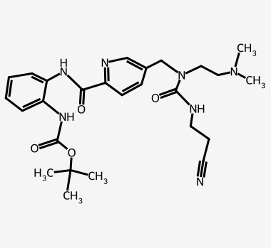 CN(C)CCN(Cc1ccc(C(=O)Nc2ccccc2NC(=O)OC(C)(C)C)nc1)C(=O)NCCC#N